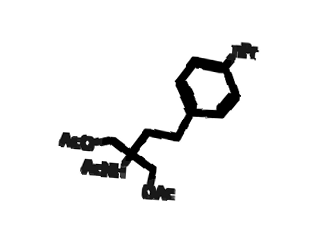 CCCc1ccc(CCC(COC(C)=O)(COC(C)=O)NC(C)=O)cc1